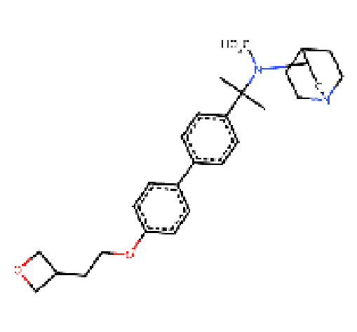 CC(C)(c1ccc(-c2ccc(OCCC3COC3)cc2)cc1)N(C(=O)O)C1CN2CCC1CC2